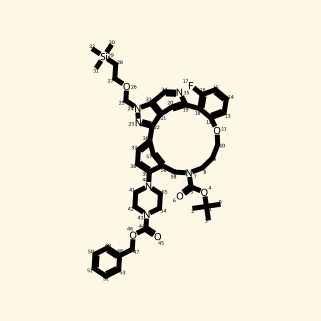 CC(C)(C)OC(=O)N1CCCOc2cccc(F)c2-c2cc3c(nn(COCC[Si](C)(C)C)c3cn2)-c2ccc(N3CCN(C(=O)OCc4ccccc4)CC3)c(c2)C1